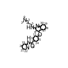 CN(C)CCCNc1cc(Oc2ccc(C(=O)Nc3ccccn3)cc2)c2ccccc2n1